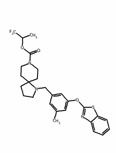 Cc1cc(CN2CCCC23CCN(C(=O)OC(C)C(F)(F)F)CC3)cc(Oc2nc3ccccc3s2)c1